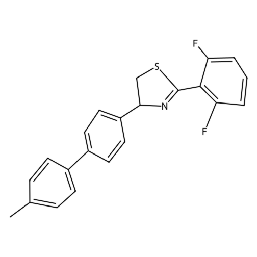 Cc1ccc(-c2ccc(C3CSC(c4c(F)cccc4F)=N3)cc2)cc1